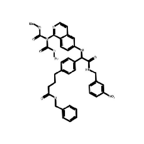 CC(C)(C)OC(=O)N(C(=O)OC(C)(C)C)c1nccc2cc(NC(C(=O)NCc3cccc([N+](=O)[O-])c3)c3ccc(CCCC(=O)OCc4ccccc4)cc3)ccc12